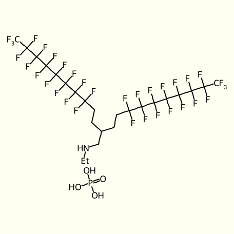 CCNCC(CCC(F)(F)C(F)(F)C(F)(F)C(F)(F)C(F)(F)C(F)(F)C(F)(F)C(F)(F)F)CCC(F)(F)C(F)(F)C(F)(F)C(F)(F)C(F)(F)C(F)(F)C(F)(F)C(F)(F)F.O=P(O)(O)O